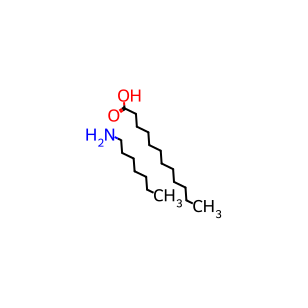 CCCCCCCCCCCC(=O)O.CCCCCCCN